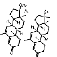 CC(=O)O[C@]1(C(C)=O)CC[C@H]2[C@@H]3C=C(C)C4=CC(=O)CC[C@]4(C)[C@H]3CC[C@@]21C.CC(=O)[C@@]1(C)CC[C@H]2[C@@H]3C=C(C)C4=CC(=O)CC[C@]4(C)[C@H]3CC[C@@]21C